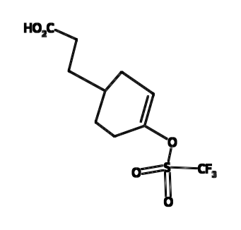 O=C(O)CCC1CC=C(OS(=O)(=O)C(F)(F)F)CC1